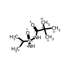 CC(C)S(=N)(=O)NC(=O)C(C)(C)C